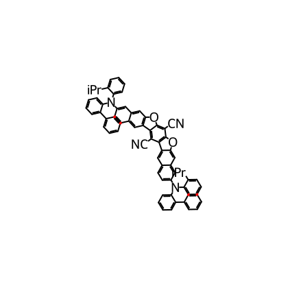 CC(C)c1ccccc1N(c1ccc2cc3c(cc2c1)oc1c(C#N)c2oc4cc5cc(N(c6ccccc6-c6ccccc6)c6ccccc6C(C)C)ccc5cc4c2c(C#N)c13)c1ccccc1-c1ccccc1